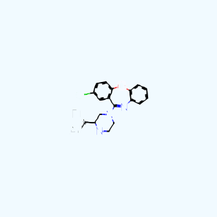 CC[C@H](C(C)=O)C1CN(C2=Nc3ccccc3Oc3ccc(Cl)cc32)CCN1